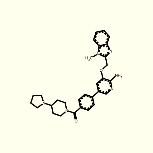 Cn1c(COc2cc(-c3ccc(C(=O)N4CCC(N5CCCC5)CC4)cc3)cnc2N)nc2ccccc21